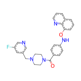 O=C(c1ccc(NOc2cccc3cccnc23)cc1)N1CCN(Cc2cncc(F)c2)CC1